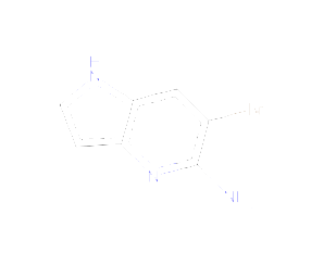 Nc1nc2cc[nH]c2cc1Br